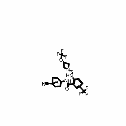 N#CC12CCC(NC(=O)c3cc(C(F)(F)F)ccc3NSN3CC(OC(F)(F)F)C3)(CC1)CC2